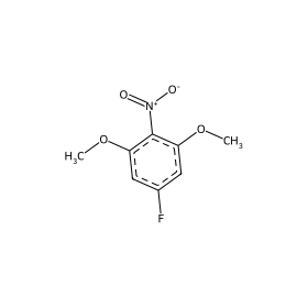 COc1cc(F)cc(OC)c1[N+](=O)[O-]